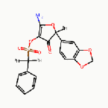 [2H]C1(c2ccc3c(c2)OCO3)OC(N)=C(OS(=O)(=O)C([2H])([2H])c2ccccc2)C1=O